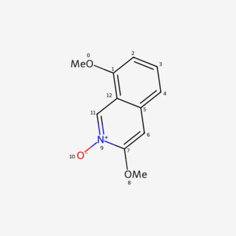 COc1cccc2cc(OC)[n+]([O-])cc12